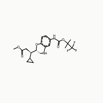 COC(=O)C[C@H](C1CC1)[C@H]1CNc2cc(NC(=O)OC(C)(C)C(F)(F)F)ccc2O1